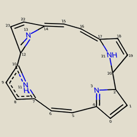 C1=CC2N=C1/C=C\c1ccc([nH]1)C1=N/C(=C\C=C3\C=CC2N3)C=C1